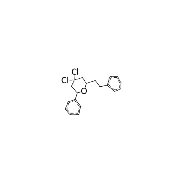 ClC1(Cl)CC(CCc2ccccc2)OC(c2ccccc2)C1